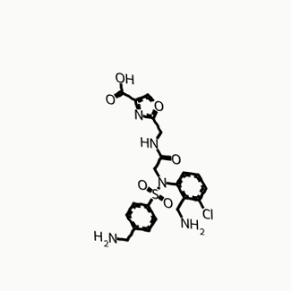 NCc1ccc(S(=O)(=O)N(CC(=O)NCc2nc(C(=O)O)co2)c2cccc(Cl)c2CN)cc1